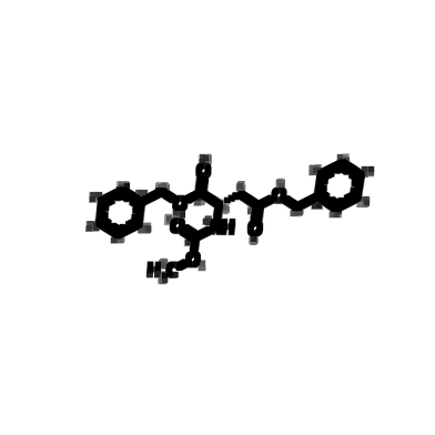 COC(=O)N[C@@H](CC(=O)OCc1ccccc1)C(=O)OCc1ccccc1